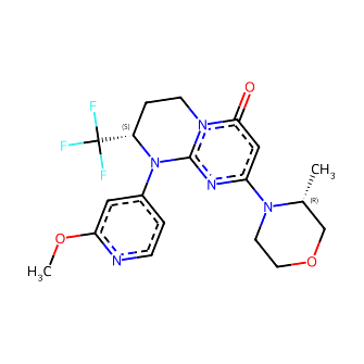 COc1cc(N2c3nc(N4CCOC[C@H]4C)cc(=O)n3CC[C@H]2C(F)(F)F)ccn1